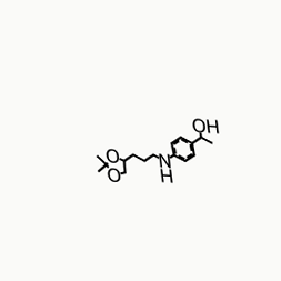 CC(O)c1ccc(NCCCC2COC(C)(C)O2)cc1